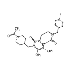 O=C1c2c(O)c(O)c(CC3CCN(C(=O)C(F)(F)F)CC3)c(=O)n2CCN1Cc1ccc(F)cc1